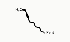 C=CC#CCCCCCCCCCC